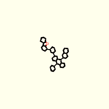 c1ccc(-c2c3ccccc3c(-c3ccc4ccccc4c3)c3cc(-c4cccc(-c5cccc6c5oc5ccccc56)c4)ccc23)cc1